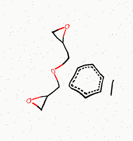 C(OCC1CO1)C1CO1.CC.c1ccccc1